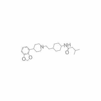 CC(C)CC(=O)NC1CCC(CCN2CCC(c3cccc4c3OCO4)CC2)CC1